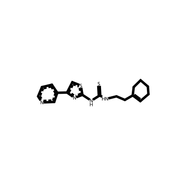 S=C(NCCC1=CCCCC1)Nc1nc(-c2cccnc2)cs1